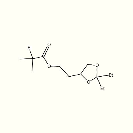 CCC1(CC)OCC(CCOC(=O)C(C)(C)CC)O1